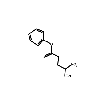 CCCCCCCCC(CCC(=O)Oc1ccccc1)[N+](=O)[O-]